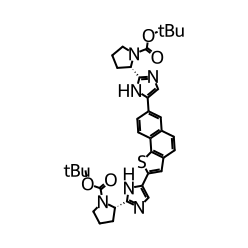 CC(C)(C)OC(=O)N1CCC[C@H]1c1ncc(-c2ccc3c(ccc4cc(-c5cnc([C@@H]6CCCN6C(=O)OC(C)(C)C)[nH]5)sc43)c2)[nH]1